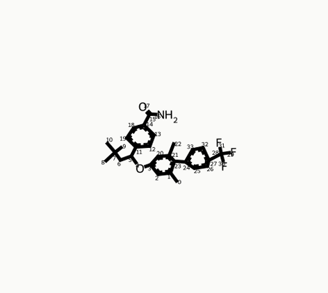 Cc1cc(OC(CC(C)(C)C)c2ccc(C(N)=O)cc2)cc(C)c1-c1ccc(C(F)(F)F)cc1